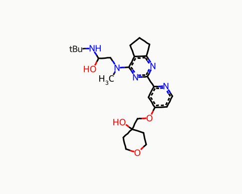 CN(CC(O)NC(C)(C)C)c1nc(-c2cc(OCC3(O)CCOCC3)ccn2)nc2c1CCC2